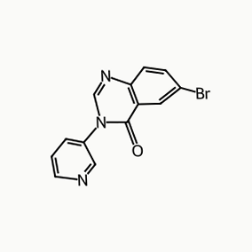 O=c1c2cc(Br)ccc2ncn1-c1cccnc1